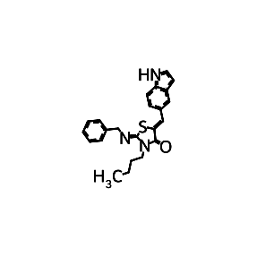 CCCCN1C(=O)C(=Cc2ccc3[nH]ccc3c2)SC1=NCc1ccccc1